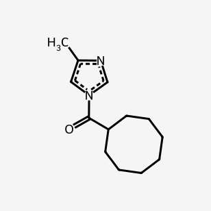 Cc1cn(C(=O)C2CCCCCCC2)cn1